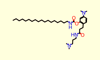 CCCCCCCCCCCCCCCCCCNC(=O)Oc1cc(N(C)C)ccc1CCC(=O)NCCCN(C)C